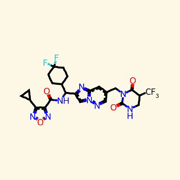 O=C(NC(c1cn2ncc(CN3C(=O)NCC(C(F)(F)F)C3=O)cc2n1)C1CCC(F)(F)CC1)c1nonc1C1CC1